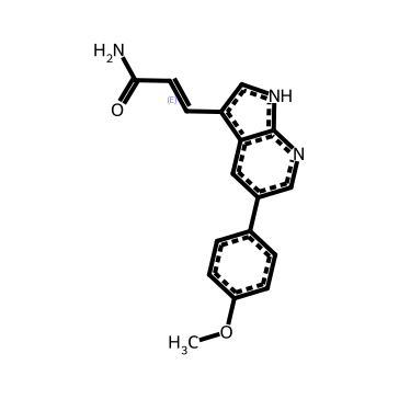 COc1ccc(-c2cnc3[nH]cc(/C=C/C(N)=O)c3c2)cc1